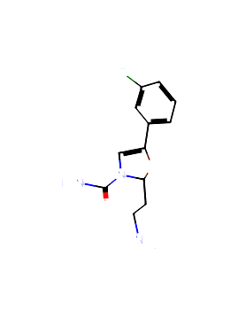 NCCC1SC(c2cccc(F)c2)=CN1C(N)=O